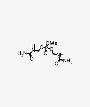 COP(=O)(OCNC(N)=O)OCNC(N)=O